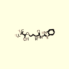 C=C(C)C(O)OCCNC(=O)Nc1nc2ccccc2[nH]1